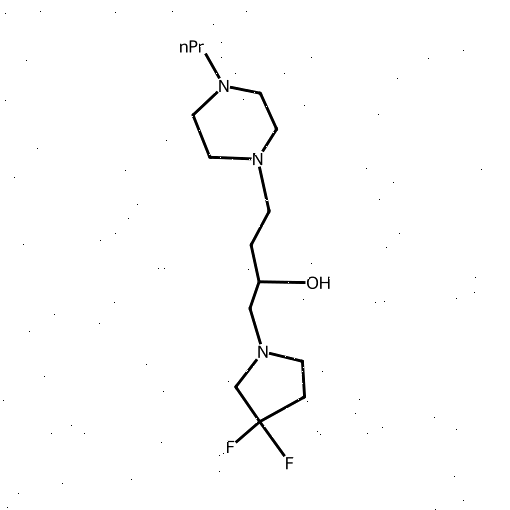 CCCN1CCN(CCC(O)CN2CCC(F)(F)C2)CC1